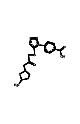 CC1CCC(CC(=O)CSc2nnnn2-c2ccc(C(=O)O)cc2)S1